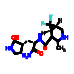 CC1NC[C@H]2[C@@H](C1C(=O)N[C@@H](C[C@@H]1CCNC1O)C(N)=O)C2(F)F